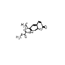 COC(=O)C(=O)Nc1cc2oc(=O)ccc2cc1OC